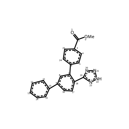 COC(=O)c1ccc(-c2cc(-c3ccccc3)ccc2-c2nn[nH]n2)cc1